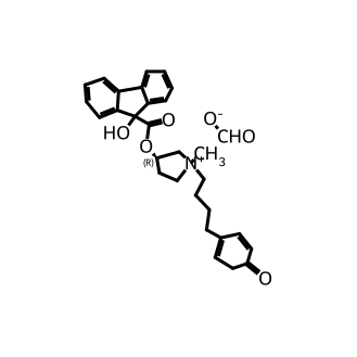 C[N+]1(CCCCC2=CCC(=O)C=C2)CC[C@@H](OC(=O)C2(O)c3ccccc3-c3ccccc32)C1.O=C[O-]